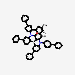 Cc1cc2c3c(c1)N(c1ccc(-c4ccccc4)cc1-c1cc(C(C)(C)C)cc(C(C)(C)C)c1)c1cc(-c4ccccc4)ccc1B3c1cc(-c3ccccc3)ccc1N2c1ccc(-c2ccccc2)cc1